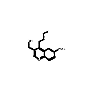 COc1ccc2ncc(CO)c(CC[CH]F)c2c1